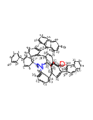 c1ccc(-c2ccc(N(c3ccccc3-c3ccc4oc5c6ccccc6ccc5c4c3)c3cccc4c3-c3ccccc3C4(c3ccccc3)c3ccccc3)cc2)cc1